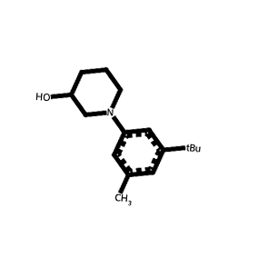 Cc1cc(N2CCCC(O)C2)cc(C(C)(C)C)c1